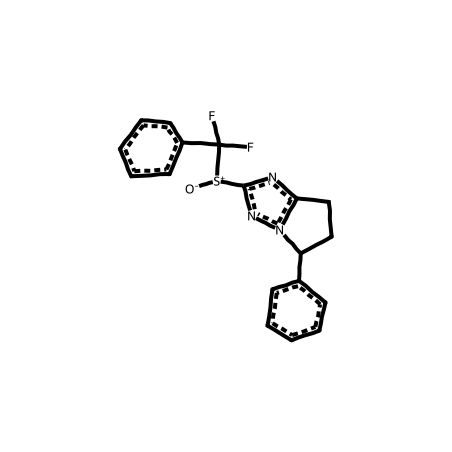 [O-][S+](c1nc2n(n1)C(c1ccccc1)CC2)C(F)(F)c1ccccc1